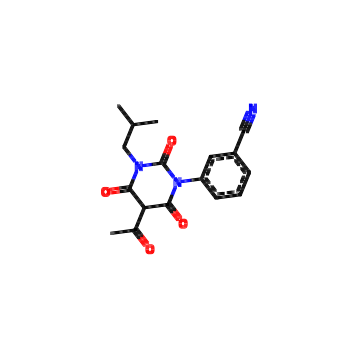 CC(=O)C1C(=O)N(CC(C)C)C(=O)N(c2cccc(C#N)c2)C1=O